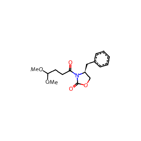 COC(CCC(=O)N1C(=O)OC[C@@H]1Cc1ccccc1)OC